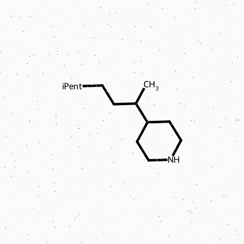 CCCC(C)CCC(C)C1CCNCC1